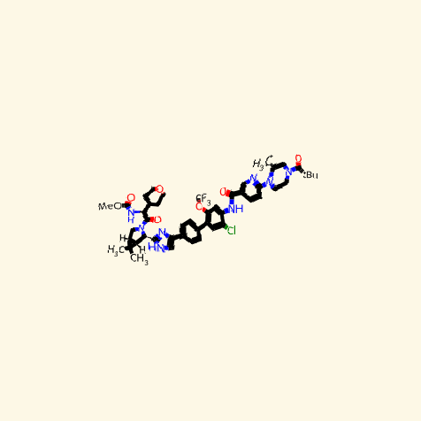 COC(=O)N[C@H](C(=O)N1C[C@H]2[C@@H]([C@H]1c1nc(-c3ccc(-c4cc(Cl)c(NC(=O)c5ccc(N6CCN(C(=O)C(C)(C)C)C[C@H]6C)nc5)cc4OC(F)(F)F)cc3)c[nH]1)C2(C)C)C1CCOCC1